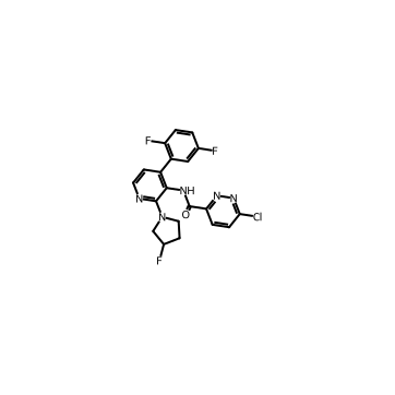 O=C(Nc1c(-c2cc(F)ccc2F)ccnc1N1CCC(F)C1)c1ccc(Cl)nn1